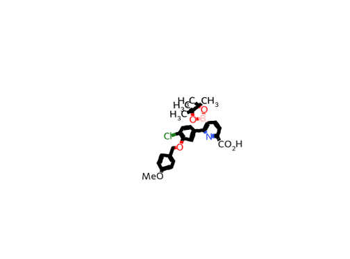 COc1ccc(COc2cc(-c3nc(C(=O)O)ccc3B3OC(C)(C)C(C)(C)O3)ccc2Cl)cc1